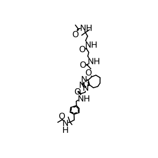 CC(=O)NC(C)(C)CCNC(=O)CCNC(=O)COC1CCCCCc2c1nnn2CC(=O)NCc1ccc(CC(C)(C)NC(C)=O)cc1